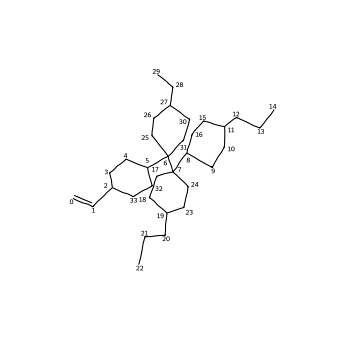 C=CC1CCC(C2(C3(C4CCC(CCC)CC4)CCC(CCC)CC3)CCC(CC)CC2)CC1